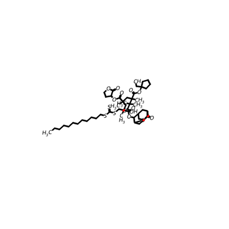 CCCCCCCCCCCCSC(=S)SCC(C)(CC(C)(CC(C)(C(=O)OC1(CC)CCCC1)C(C)(C)C(=O)O)C(=O)OC1CCOC1=O)C(=O)OC1C2CC3CC(C2)C(=O)OC1C3